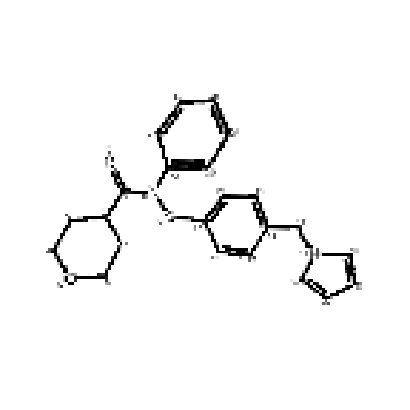 O=C(C1CCOCC1)N(Sc1ccc(Cn2cccc2)cc1)c1ccccc1